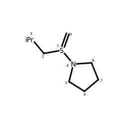 C=S(CC(C)C)N1CCCC1